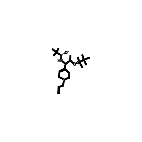 C=CCN1CC=C(C(N[S@@+]([O-])C(C)(C)C)C(C)O[Si](C)(C)C(C)(C)C)CC1